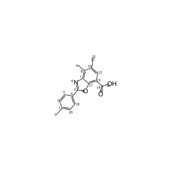 Cc1ccc(-c2nc3c(C)c(F)cc(C(=O)O)c3o2)cc1